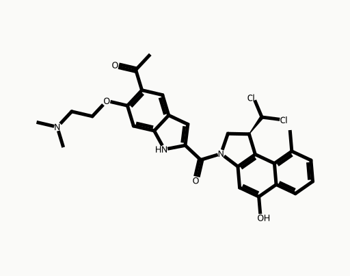 CC(=O)c1cc2cc(C(=O)N3C[C@@H](C(Cl)Cl)c4c3cc(O)c3cccc(C)c43)[nH]c2cc1OCCN(C)C